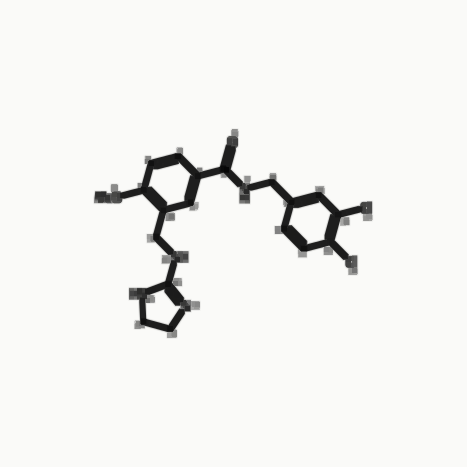 COc1ccc(C(=O)NCc2ccc(Cl)c(Cl)c2)cc1CNC1=NCCN1